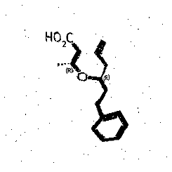 C=CC[C@@H](CCc1ccccc1)O[C@H](C)CC(=O)O